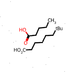 CC(C)(C)CCCCCC(=O)O.CCCCC(=O)O